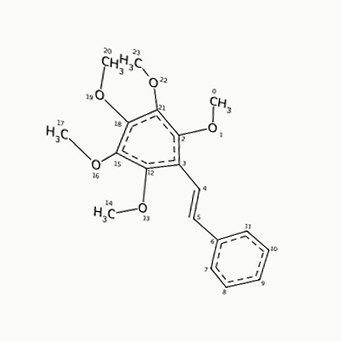 COc1c(C=Cc2ccccc2)c(OC)c(OC)c(OC)c1OC